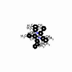 Cc1cc(C)c(-c2cc3c4c(c2)N(c2cc5c(cc2C)C(C)(C)CCC5(C)C)c2cc(-c5ccccc5)ccc2B4N(c2ccc4c(c2)C(C)(C)CCC4(C)C)c2cc4c(cc2-3)-c2ccccc2C4(C)C)c(C)c1